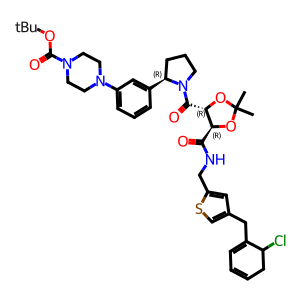 CC(C)(C)OC(=O)N1CCN(c2cccc([C@H]3CCCN3C(=O)[C@@H]3OC(C)(C)O[C@H]3C(=O)NCc3cc(CC4=CC=CCC4Cl)cs3)c2)CC1